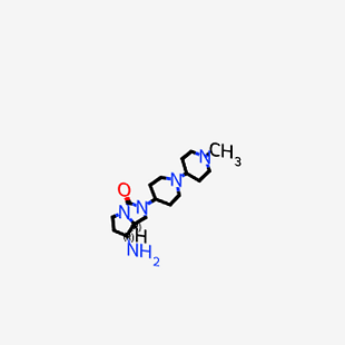 CN1CCC(N2CCC(N3C[C@@H]4[C@H](N)CCN4C3=O)CC2)CC1